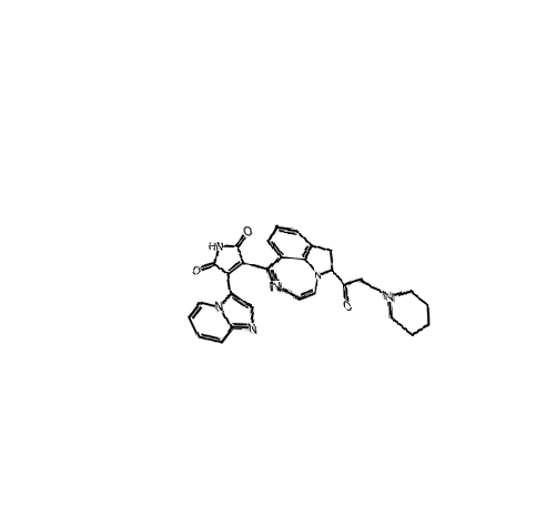 O=C1NC(=O)C(c2cnc3ccccn23)=C1C1=NC=CN2c3c(cccc31)CC2C(=O)CN1CCCCC1